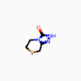 O=c1[nH]nc2n1CCSC2